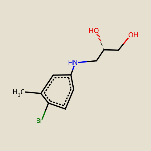 Cc1cc(NC[C@H](O)CO)ccc1Br